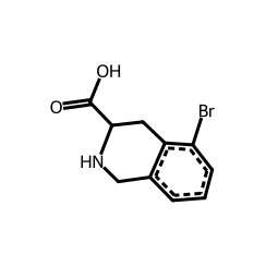 O=C(O)C1Cc2c(Br)cccc2CN1